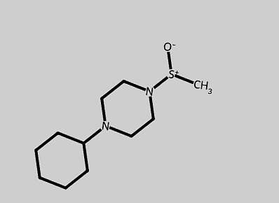 C[S+]([O-])N1CCN(C2CCCCC2)CC1